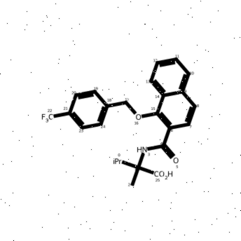 CC(C)C(C)(NC(=O)c1ccc2ccccc2c1OCc1ccc(C(F)(F)F)cc1)C(=O)O